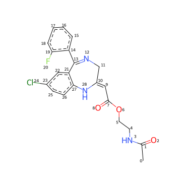 CC(=O)NCCOC(=O)C=C1CN=C(c2ccccc2F)c2cc(Cl)ccc2N1